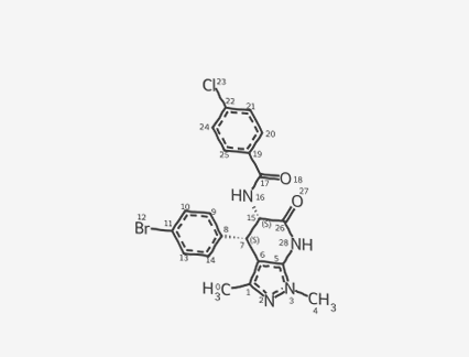 Cc1nn(C)c2c1[C@H](c1ccc(Br)cc1)[C@H](NC(=O)c1ccc(Cl)cc1)C(=O)N2